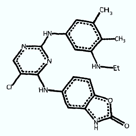 CCNc1cc(Nc2ncc(Cl)c(Nc3ccc4oc(=O)[nH]c4c3)n2)cc(C)c1C